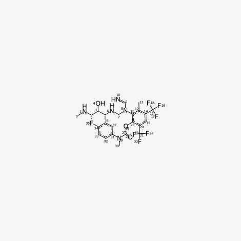 CNCC(O)CNCN(C=N)c1c(C)c(C(F)(F)F)cc(C(F)(F)F)c1OC(=O)N(C)c1ccc(F)cc1